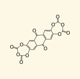 O=c1oc(=O)oc2cc3c(=O)c4cc5oc(=O)oc(=O)oc5cc4c(=O)c3cc2o1